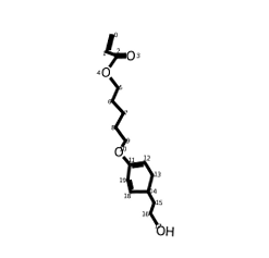 C=CC(=O)OCCCCCOC1=CCC(CCO)C=C1